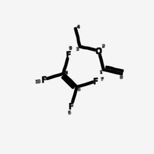 C=COCC.FC(F)=C(F)F